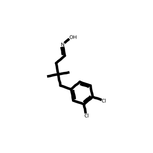 CC(C)(CC=NO)Cc1ccc(Cl)c(Cl)c1